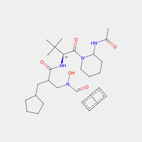 CC(=O)NC1CCCCN1C(=O)[C@@H](NC(=O)C(CC1CCCC1)CN(O)C=O)C(C)(C)C.c1cc2ccc1-2